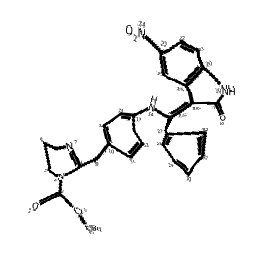 CC(C)(C)OC(=O)N1CCN=C1Cc1ccc(NC(=C2C(=O)Nc3ccc([N+](=O)[O-])cc32)c2ccccc2)cc1